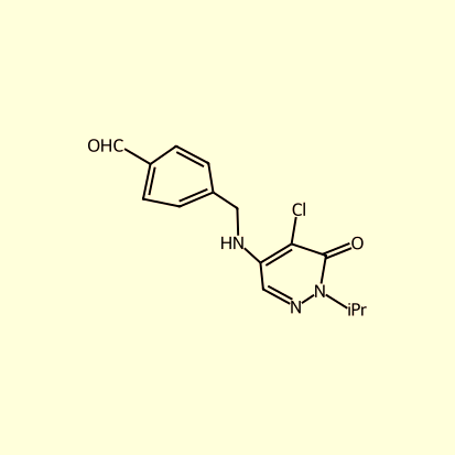 CC(C)n1ncc(NCc2ccc(C=O)cc2)c(Cl)c1=O